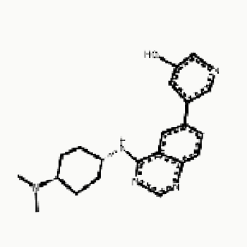 CN(C)[C@H]1CC[C@H](Nc2ncnc3ccc(-c4cncc(O)c4)cc23)CC1